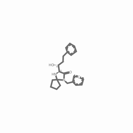 O=C1[C@H]([C@H](O)[CH]Cc2ccccc2)NC2(CCCC2)N1Cc1ccccc1